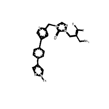 CCn1cc(-c2ccc(-c3csc(Cn4cnn(CC(CN)=C(F)F)c4=O)c3)cc2)cn1